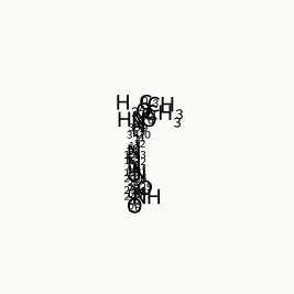 CC(C)(C)OC(=O)NN1CCC(CCN2CCN(c3ccc(C4CCC(=O)NC4=O)cn3)CC2)CC1